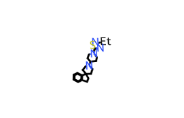 CCc1nsc(N2CCC(N3CCC4(CCc5ccccc54)CC3)CC2)n1